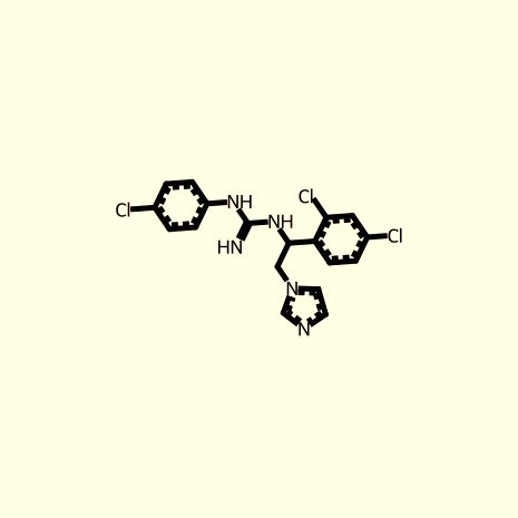 N=C(Nc1ccc(Cl)cc1)NC(Cn1ccnc1)c1ccc(Cl)cc1Cl